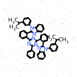 CC(C)c1cccc(-n2c(-c3ccccc3-c3nc(-c4ccccc4)nc(-c4ccccc4-c4nc5ccccc5n4-c4cccc(C(C)C)c4)n3)nc3ccccc32)c1